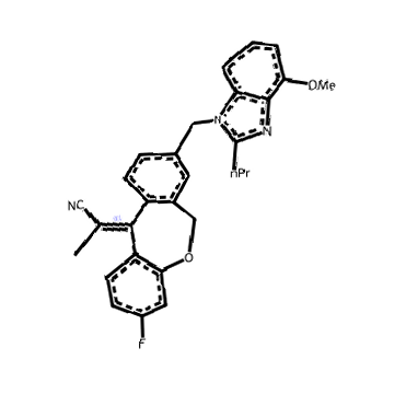 CCCc1nc2c(OC)cccc2n1Cc1ccc2c(c1)COc1cc(F)ccc1/C2=C(\C)C#N